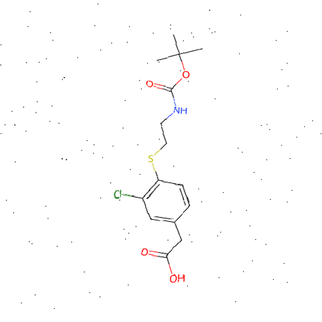 CC(C)(C)OC(=O)NCCSc1ccc(CC(=O)O)cc1Cl